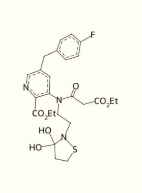 CCOC(=O)CC(=O)N(CCN1SCCC1(O)O)c1cc(Cc2ccc(F)cc2)cnc1C(=O)OCC